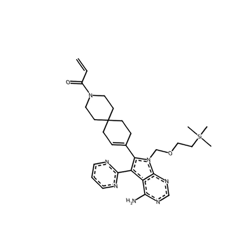 C=CC(=O)N1CCC2(CC=C(c3c(-c4ncccn4)c4c(N)ncnc4n3COCC[Si](C)(C)C)CC2)CC1